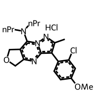 CCCN(CCC)c1c2c(nc3c(-c4ccc(OC)cc4Cl)c(C)nn13)COC2.Cl